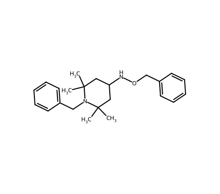 CC1(C)CC(NOCc2ccccc2)CC(C)(C)N1Cc1ccccc1